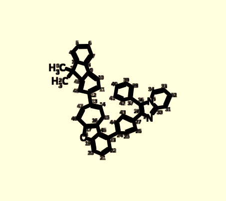 CC1(C)c2ccccc2-c2ccc(C3=CCc4c(oc5cccc(-c6ccc(-c7nc8ccccn8c7-c7ccccc7)cc6)c45)C=C3)cc21